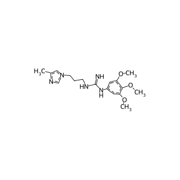 COc1cc(NC(=N)NCCCn2cnc(C)c2)cc(OC)c1OC